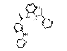 O=C(O)CC(c1cccnc1)[S+]([O-])c1ccccc1NC(=O)c1cccc(Nc2ccccn2)c1